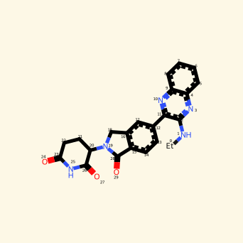 CCNc1nc2ccccc2nc1-c1ccc2c(c1)CN(C1CCC(=O)NC1=O)C2=O